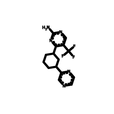 Nc1ncc(C(F)(F)F)c(C2CCCC(c3cnccn3)C2)n1